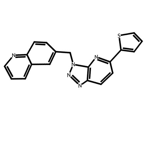 c1csc(-c2ccc3nnn(Cc4ccc5ncccc5c4)c3n2)c1